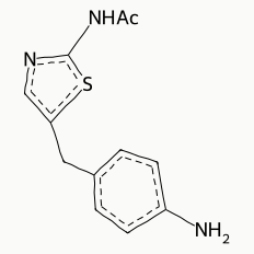 CC(=O)Nc1ncc(Cc2ccc(N)cc2)s1